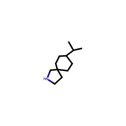 CC(C)C1CCC2(CCNC2)CC1